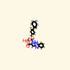 O=C(NC(Cc1nc2ccccc2[nH]1)C(=O)O)OCc1ccc(-c2ccccc2)cc1